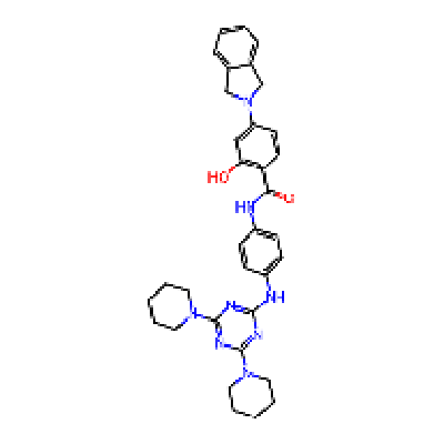 O=C(Nc1ccc(Nc2nc(N3CCCCC3)nc(N3CCCCC3)n2)cc1)c1ccc(N2Cc3ccccc3C2)cc1O